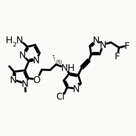 Cc1nn(C)c(OCC[C@H](C)Nc2cc(Cl)ncc2C#Cc2cnn(CC(F)F)c2)c1-c1nccc(N)n1